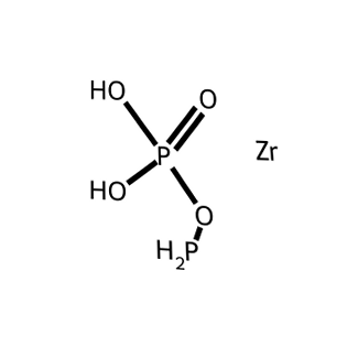 O=P(O)(O)OP.[Zr]